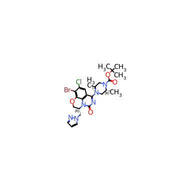 C[C@@H]1CN(c2nc(=O)n3c4c(c(Br)c(Cl)cc24)OC[C@H]3Cn2cccn2)[C@@H](C)CN1C(=O)OC(C)(C)C